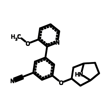 COc1cccnc1-c1cc(C#N)cc(OC2CC3CCC(C2)N3)c1